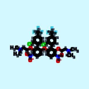 CN(C)CCOc1c([N+](=O)[O-])ccc(Oc2ccc([N+](=O)[O-])c(OCCN(C)C)c2-c2ccc(C(F)(F)F)cc2Cl)c1-c1ccc(C(F)(F)F)cc1Cl